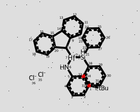 CC(C)(C)c1cccc([NH][Hf+2]([CH]2c3ccccc3-c3ccccc32)[SiH](c2ccccc2)c2ccccc2)c1.[Cl-].[Cl-]